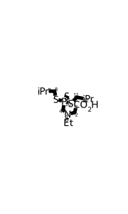 CCN(CC(=O)O)CP(=S)(SCC(C)C)SCC(C)C